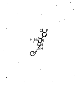 Nc1nc(-c2ccc(F)c(Cl)c2)nc2nc(NCCN3CCCCC3)sc12